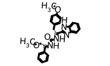 COC[C@H](NC(=O)N[C@H](Cc1ccc(OC)cc1)c1nc2ccccc2[nH]1)c1ccccc1